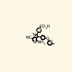 Cc1cccc(Oc2ccc(-c3c(C4=CCN(C(=O)O)CC4)n(C)c4c(C#N)cnc(N)c34)cc2)n1